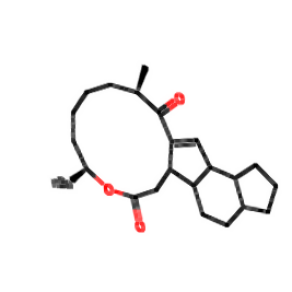 CCCC[C@H]1CCCC[C@@H](C)C(=O)C2=CC3C4CCCC4CCC3C2CC(=O)O1